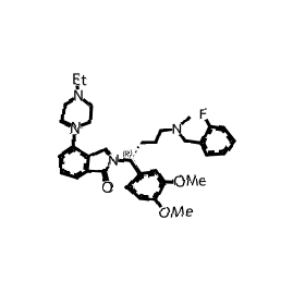 CCN1CCN(c2cccc3c2CN([C@H](CCCN(C)Cc2ccccc2F)c2ccc(OC)c(OC)c2)C3=O)CC1